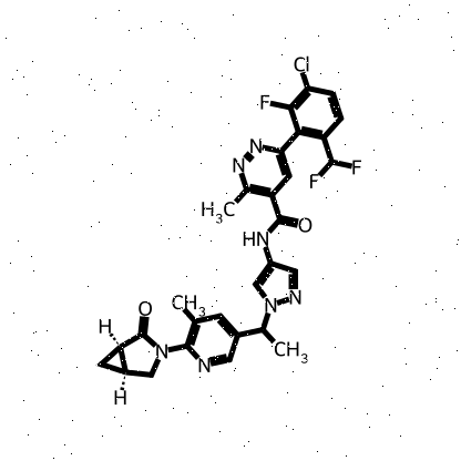 Cc1cc(C(C)n2cc(NC(=O)c3cc(-c4c(C(F)F)ccc(Cl)c4F)nnc3C)cn2)cnc1N1C[C@H]2C[C@H]2C1=O